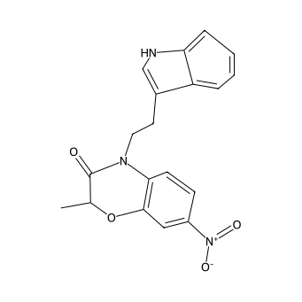 CC1Oc2cc([N+](=O)[O-])ccc2N(CCc2c[nH]c3ccccc23)C1=O